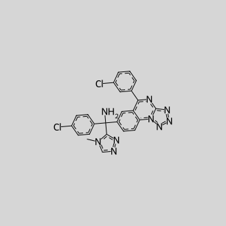 Cn1cnnc1C(N)(c1ccc(Cl)cc1)c1ccc2c(c1)c(-c1cccc(Cl)c1)nc1nnnn12